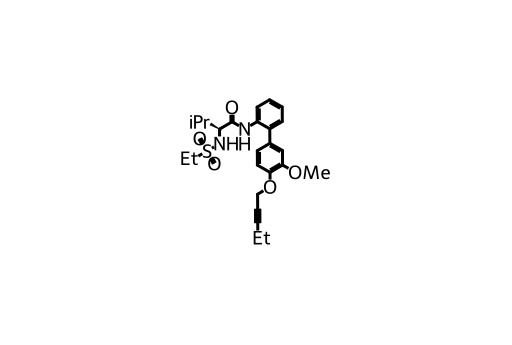 CCC#CCOc1ccc(-c2ccccc2NC(=O)[C@@H](NS(=O)(=O)CC)C(C)C)cc1OC